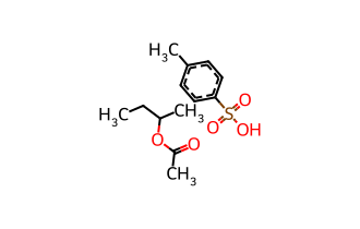 CCC(C)OC(C)=O.Cc1ccc(S(=O)(=O)O)cc1